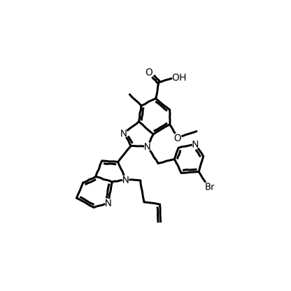 C=CCCn1c(-c2nc3c(C)c(C(=O)O)cc(OC)c3n2Cc2cncc(Br)c2)cc2cccnc21